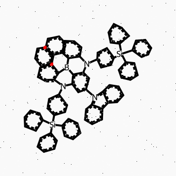 c1ccc(-c2cccc3c2B2c4c(-c5ccccc5)cccc4N(c4ccc([Si](c5ccccc5)(c5ccccc5)c5ccccc5)cc4)c4cc(-n5c6ccccc6c6ccccc65)cc(c42)N3c2ccc([Si](c3ccccc3)(c3ccccc3)c3ccccc3)cc2)cc1